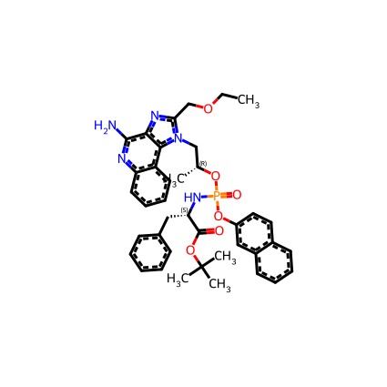 CCOCc1nc2c(N)nc3ccccc3c2n1C[C@@H](C)OP(=O)(N[C@@H](Cc1ccccc1)C(=O)OC(C)(C)C)Oc1ccc2ccccc2c1